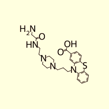 NCC(=O)NCCN1CCN(CCCN2c3ccccc3Sc3ccc(C(=O)O)cc32)CC1